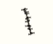 CCC(C)Nc1ccc(NC(=S)NCCCCCN(O)C(=O)CCC(=O)NCCCCCN(O)C(=O)CCC(=O)NCCCCCN(O)C(C)=O)cc1